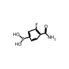 NC(=O)c1ccc(B(O)O)cc1F